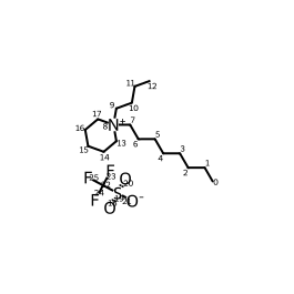 CCCCCCCC[N+]1(CCCC)CCCCC1.O=S(=O)([O-])C(F)(F)F